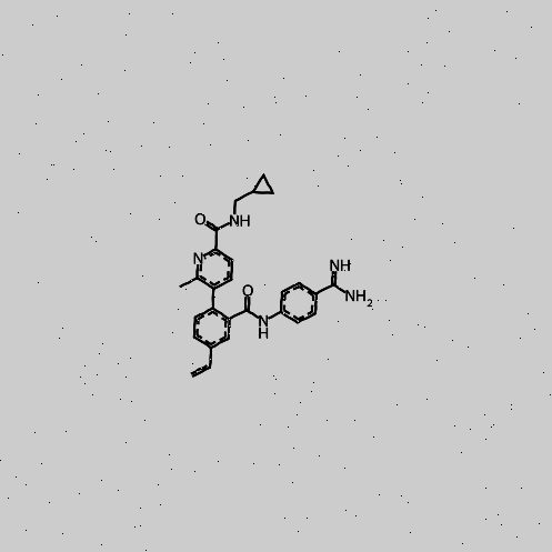 C=Cc1ccc(-c2ccc(C(=O)NCC3CC3)nc2C)c(C(=O)Nc2ccc(C(=N)N)cc2)c1